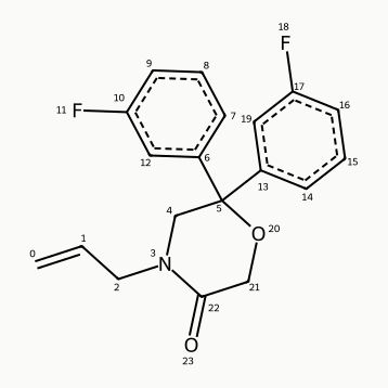 C=CCN1CC(c2cccc(F)c2)(c2cccc(F)c2)OCC1=O